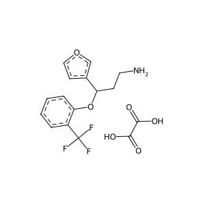 NCCC(Oc1ccccc1C(F)(F)F)c1ccoc1.O=C(O)C(=O)O